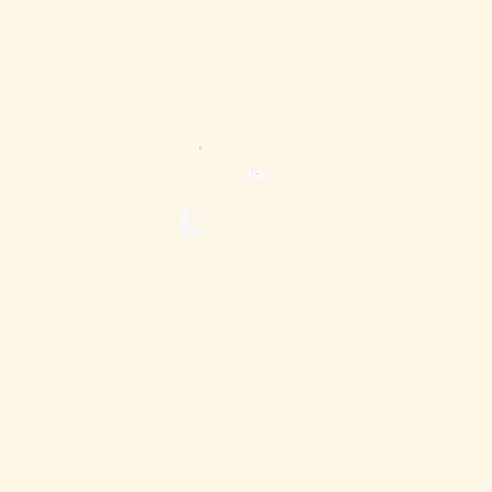 Cc1ncc2cc(Cc3ccc(F)cc3)cnc2c1O